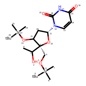 CC(O)[C@]1(CO[Si](C)(C)C(C)(C)C)O[C@@H](n2ccc(=O)[nH]c2=O)CC1O[Si](C)(C)C(C)(C)C